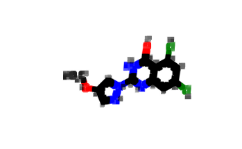 O=C(O)Oc1cnn(-c2nc3cc(Cl)cc(Cl)c3c(=O)[nH]2)c1